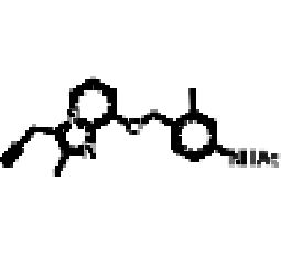 C#CCc1c(C)nc2c(OCc3ccc(NC(C)=O)cc3C)cccn12